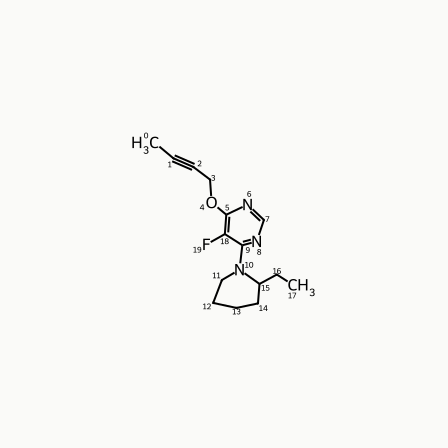 CC#CCOc1ncnc(N2CCCCC2CC)c1F